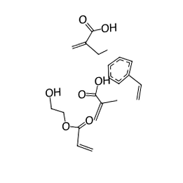 C=C(C)C(=O)O.C=C(CC)C(=O)O.C=CC(=O)OCCO.C=Cc1ccccc1